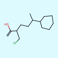 C=C(O)C(CCl)CCC(C)C1CCCCC1